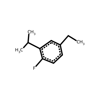 CCc1ccc(F)c(C(C)C)c1